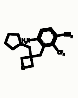 Nc1ccc(N)c(C(F)(F)F)c1CC1(CN2CCCC2)COC1